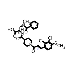 CSc1ccc(/C=C/C(=O)N2CCC(C(=O)N[C@@H](CN(C)C(=O)c3ccccc3)C(=O)O)CC2)c(Cl)c1Cl